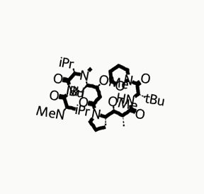 CC[C@H](C)[C@@H]([C@@H](CC(=O)N1CCC[C@H]1[C@H](OC)[C@@H](C)C(=O)N[C@H](C(=O)N1CCCCO1)C(C)(C)C)OC)N(C)[C@H](C(=O)NC(=O)[C@@H](NC)C(C)C)C(C)C